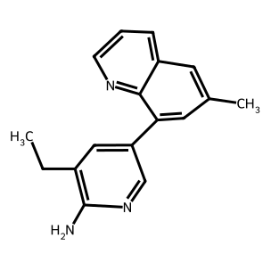 CCc1cc(-c2cc(C)cc3cccnc23)cnc1N